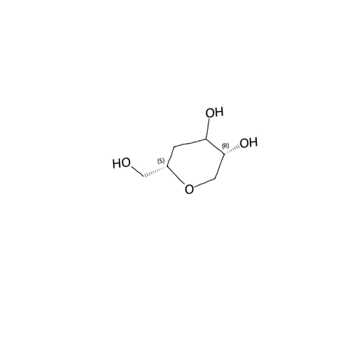 OC[C@@H]1CC(O)[C@H](O)CO1